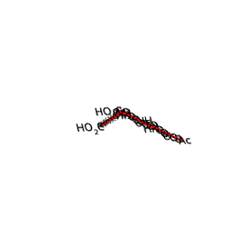 CC(=O)COCCOCCCC(=O)COCCOCCNC(=O)COCCOCCNC(=O)COCCOCCNC(=O)CC[C@H](NC(=O)CCCCCCCCCCCCCCC(=O)O)C(=O)O